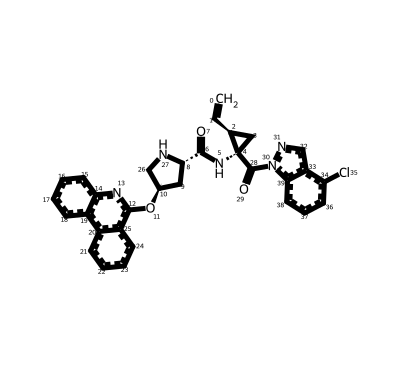 C=C[C@H]1C[C@@]1(NC(=O)[C@@H]1C[C@@H](Oc2nc3ccccc3c3ccccc23)CN1)C(=O)n1ncc2c(Cl)cccc21